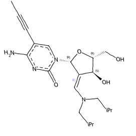 CC#Cc1cn([C@@H]2O[C@H](CO)[C@@H](O)/C2=C\N(CC(C)C)CC(C)C)c(=O)nc1N